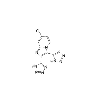 Clc1ccn2c(-c3nnn[nH]3)c(-c3nnn[nH]3)nc2c1